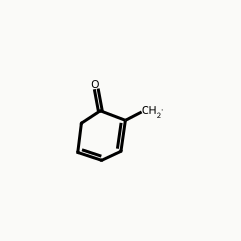 [CH2]C1=CC=CCC1=O